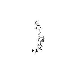 COc1ccc(CSc2nnc(-c3cnc(N)s3)o2)cc1